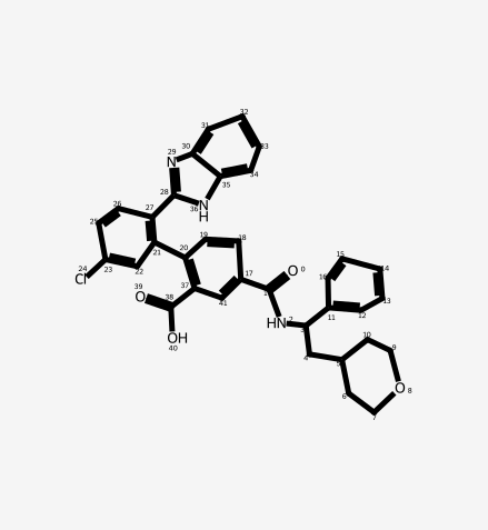 O=C(NC(CC1CCOCC1)c1ccccc1)c1ccc(-c2cc(Cl)ccc2-c2nc3ccccc3[nH]2)c(C(=O)O)c1